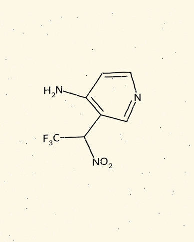 Nc1ccncc1C([N+](=O)[O-])C(F)(F)F